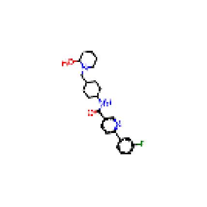 O=C(NC1CCC(CN2CCCCC2O)CC1)c1ccc(-c2cccc(F)c2)nc1